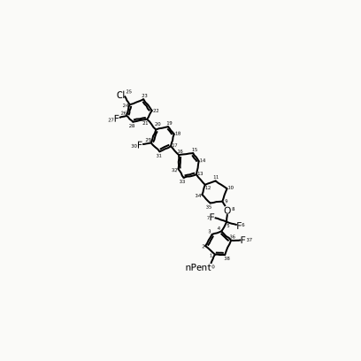 CCCCCc1ccc(C(F)(F)OC2CCC(c3ccc(-c4ccc(-c5ccc(Cl)c(F)c5)c(F)c4)cc3)CC2)c(F)c1